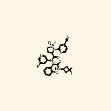 N#Cc1ccnc(N2C(C(=O)N(c3cncc(F)c3)[C@H](C(=O)NC3CC(F)(F)C3)c3ccccc3Cl)CCS2(=O)=O)c1